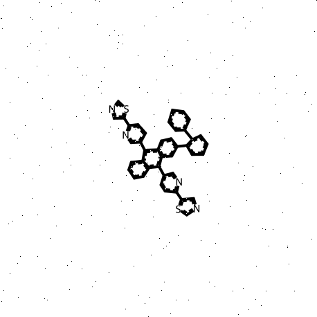 c1ccc(-c2ccccc2-c2ccc3c(-c4ccc(-c5cncs5)nc4)c4ccccc4c(-c4ccc(-c5cncs5)nc4)c3c2)cc1